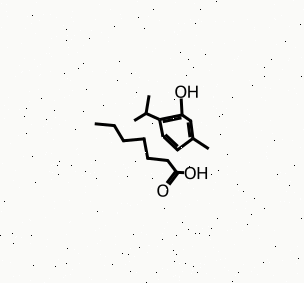 CCCCCCC(=O)O.Cc1ccc(C(C)C)c(O)c1